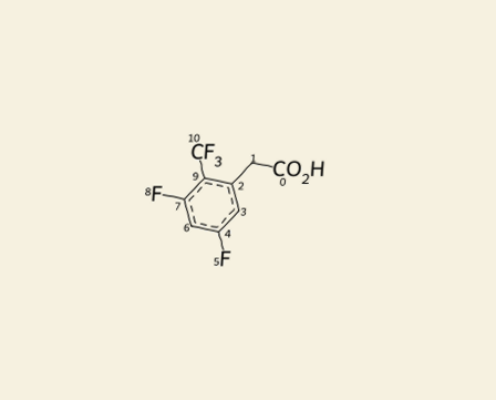 O=C(O)Cc1cc(F)cc(F)c1C(F)(F)F